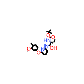 CC[C@@H](NC(=O)OC(C)(C)C)C(O)Nc1cccc(Oc2ccc(C)c(OC)c2)n1